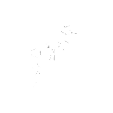 O=C(Nc1cccc(-c2nncn2C2CC2)n1)c1ccnc(-c2ccc(C3CC3)nc2)c1